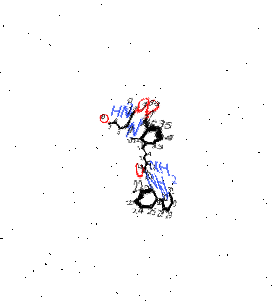 CNC(=O)C(CCC=O)N1Cc2c(CCC[C@H](N)C(=O)Nc3ccccc3-c3ccccn3)cccc2C1=O